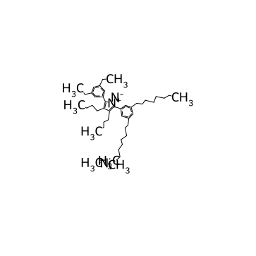 CCCCCCCCc1cc(CCCCCCCC)cc(C2=C(CCCC)C(CCCC)=C(c3cc(CC)cc(CC)c3)[N+]2=[N-])c1.[CH3][Ni][CH3]